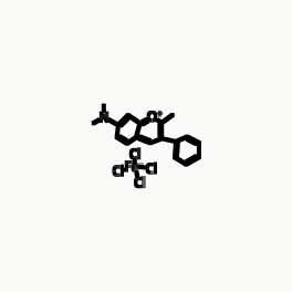 Cc1[o+]c2cc(N(C)C)ccc2cc1-c1ccccc1.[Cl][Fe-]([Cl])([Cl])[Cl]